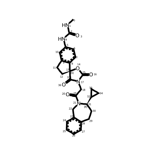 CNC(=O)Nc1ccc2c(c1)CC[C@]21OC(=O)N(CC(=O)N2Cc3ccccc3CC[C@@H]2C2CC2)C1=O